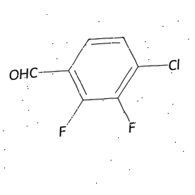 O=Cc1ccc(Cl)c(F)c1F